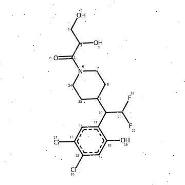 O=C(C(O)CO)N1CCC(C(c2cc(Cl)c(Cl)cc2O)C(F)F)CC1